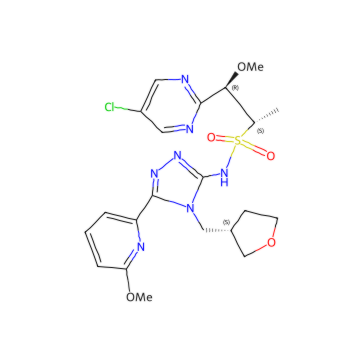 COc1cccc(-c2nnc(NS(=O)(=O)[C@@H](C)[C@H](OC)c3ncc(Cl)cn3)n2C[C@@H]2CCOC2)n1